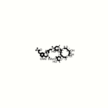 CC[C@H]1OC(=O)[C@H](C)[C@@H](C2C[C@@](C)(OC)[C@@H](O)[C@H](C)O2)[C@H](C)[C@@H](O[C@@H]2O[C@H](C)C[C@H](N(C)CCc3cn([C@H](CF)[C@H](OC)c4ccc(CC(=O)N(C)C)cc4)nn3)[C@H]2O)[C@](C)(OC)C[C@@H](C)C(=O)[C@H](C)[C@@H](O)[C@]1(C)O